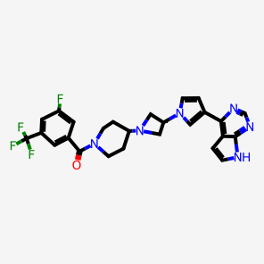 O=C(c1cc(F)cc(C(F)(F)F)c1)N1CCC(N2C[C](n3ccc(-c4ncnc5[nH]ccc45)c3)C2)CC1